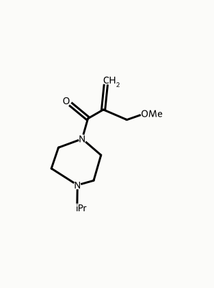 C=C(COC)C(=O)N1CCN(C(C)C)CC1